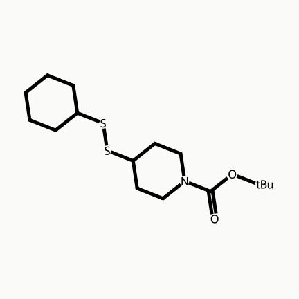 CC(C)(C)OC(=O)N1CCC(SSC2CCCCC2)CC1